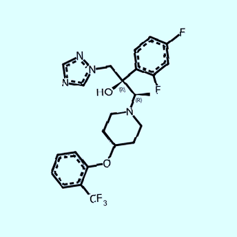 C[C@@H](N1CCC(Oc2ccccc2C(F)(F)F)CC1)[C@](O)(Cn1cncn1)c1ccc(F)cc1F